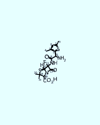 Cc1cc(C)c(C(N)C(=O)NC2(F)C(=O)N3[C@@H](C(=O)O)C(C)(C)S[C@@H]32)s1